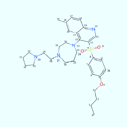 CCCCOc1ccc(S(=O)(=O)c2cnc3ccc(C)cc3c2N2CCCN(CCN3CCCC3)CC2)cc1